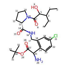 CCC(CC)C(O)C(=O)N1CCC[C@H]1C(=O)NCc1cc(Cl)ccc1C(N)C(=O)OC(C)(C)C